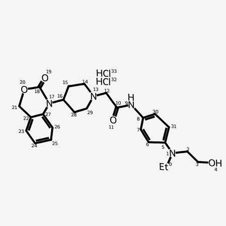 CCN(CCO)c1ccc(NC(=O)CN2CCC(N3C(=O)OCc4ccccc43)CC2)cc1.Cl.Cl